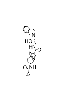 O=C(NCC(O)CN1CCc2ccccc2C1)c1cn2c(n1)CCC(NC(=O)C1CC1)C2